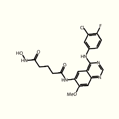 COc1cc2ncnc(Nc3ccc(F)c(Cl)c3)c2cc1NC(=O)CCCC(=O)NO